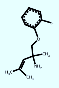 CC(C)=CC(C)(N)COc1ccccc1F